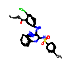 COC(=O)c1cc(Nc2nc3ccccc3nc2NS(=O)(=O)c2ccc(C)cc2)ccc1Cl